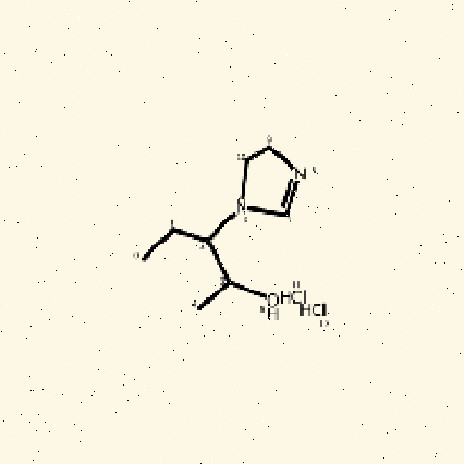 CCC(C(C)O)N1C=NCC1.Cl.Cl